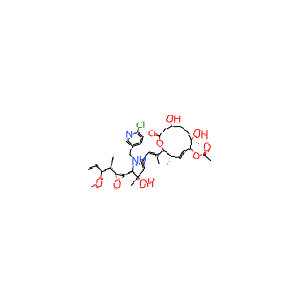 CC[C@H](OC)[C@@H](C)[C@H]1O[C@@H]1C(NCc1ccc(Cl)nc1)C(C)(O)/C=C/C=C(\C)C1OC(=O)C[C@H](O)CC[C@@](C)(O)[C@@H](OC(C)=O)/C=C/[C@@H]1C